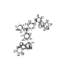 c1ccc(N(c2ccc(-c3cccc4c3oc3cnccc34)cc2)c2ccc(-c3cncc4c3oc3ccccc34)cc2)cc1